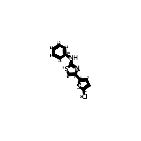 Clc1ccc(-c2csc(Nc3ccccc3)n2)s1